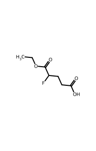 CCOC(=O)C(F)CCC(=O)O